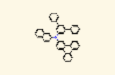 c1ccc(-c2cc(-c3ccccc3)cc(N(c3ccc4ccccc4c3)c3ccc4c5ccccc5c5ccccc5c4c3)c2)cc1